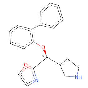 c1ccc(-c2ccccc2O[C@H](c2ncco2)C2CCNC2)cc1